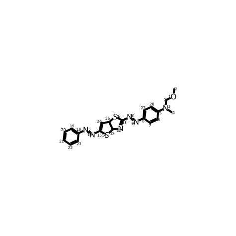 COCN(C)c1ccc(N=NC2=NC3SC(N=Nc4ccccc4)=CC3S2)cc1